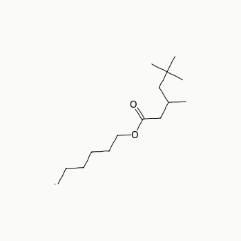 [CH2]CCCCCOC(=O)CC(C)CC(C)(C)C